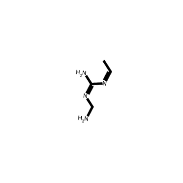 C/C=N\C(N)=N/CN